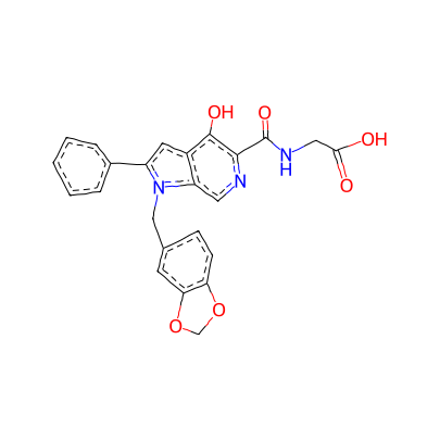 O=C(O)CNC(=O)c1ncc2c(cc(-c3ccccc3)n2Cc2ccc3c(c2)OCO3)c1O